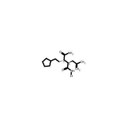 C=C(C)C[C@@H](C(=O)NCC)[C@H](CCC1CCCC1)C(N)=O